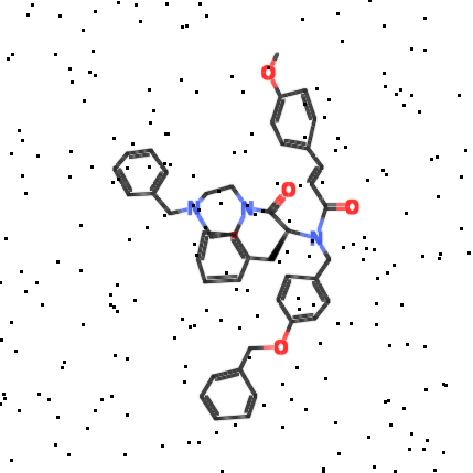 COc1ccc(/C=C/C(=O)N(Cc2ccc(OCc3ccccc3)cc2)[C@@H](Cc2ccccc2)C(=O)N2CCN(Cc3ccccc3)CC2)cc1